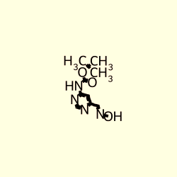 CC(C)(C)OC(=O)Nc1cc(C=NO)ncn1